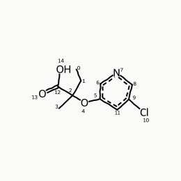 CCC(C)(Oc1cncc(Cl)c1)C(=O)O